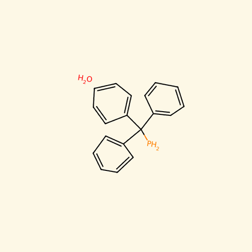 O.PC(c1ccccc1)(c1ccccc1)c1ccccc1